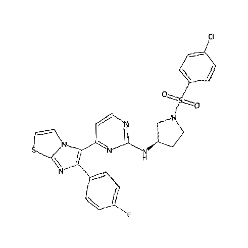 O=S(=O)(c1ccc(Cl)cc1)N1CC[C@@H](Nc2nccc(-c3c(-c4ccc(F)cc4)nc4sccn34)n2)C1